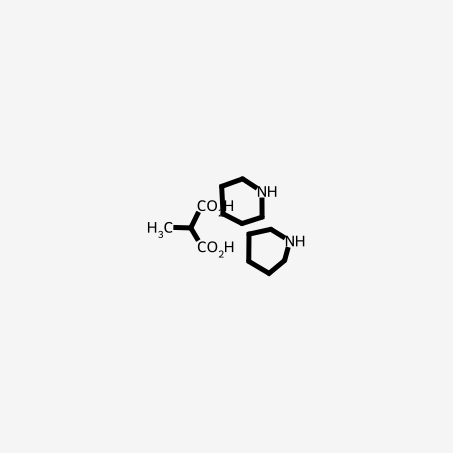 C1CCNCC1.C1CCNCC1.CC(C(=O)O)C(=O)O